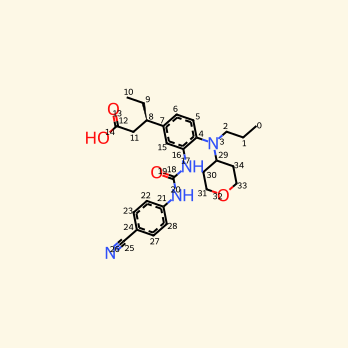 CCCN(c1ccc([C@H](CC)CC(=O)O)cc1NC(=O)Nc1ccc(C#N)cc1)C1CCOCC1